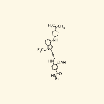 CCNC(=O)c1ccc(NCC#Cc2cc3c(N[C@H]4CC[C@H](N(C)C)CC4)cccc3n2CC(F)(F)F)c(OC)c1